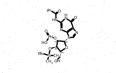 CC(C)C(=O)Nc1nc2c(ncn2[C@@H]2O[C@H](CO)[C@@H](O[Si](C)(C)C(C)(C)C)[C@@H]2O[PH](=O)O)c(=O)[nH]1